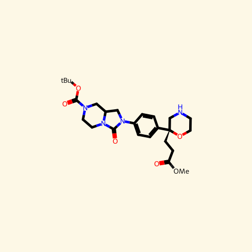 COC(=O)CC[C@@]1(c2ccc(N3CC4CN(C(=O)OC(C)(C)C)CCN4C3=O)cc2)CNCCO1